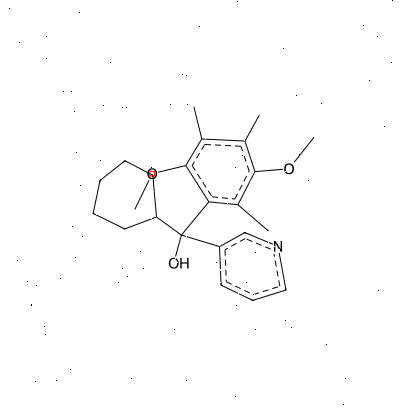 COc1c(C)c(C)c(OC)c(C(O)(c2cccnc2)C2CCCCC2)c1C